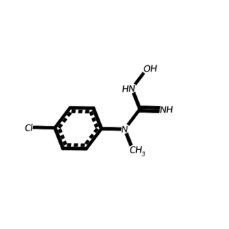 CN(C(=N)NO)c1ccc(Cl)cc1